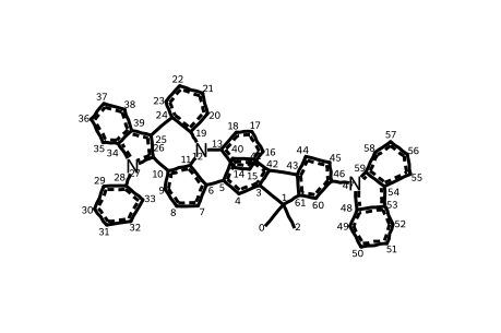 CC1(C)c2cc(-c3cccc4c3N(c3ccccc3)c3ccccc3-c3c-4n(-c4ccccc4)c4ccccc34)ccc2-c2ccc(-n3c4ccccc4c4ccccc43)cc21